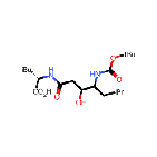 CCC(C)[C@H](NC(=O)CC(O)C(CC(C)C)NC(=O)OC(C)(C)C)C(=O)O